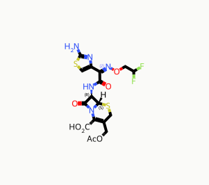 CC(=O)OCC1=C(C(=O)O)N2C(=O)[C@@H](NC(=O)/C(=N\OCC(F)F)c3csc(N)n3)[C@@H]2SC1